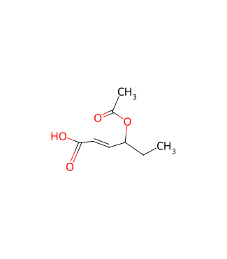 CCC(C=CC(=O)O)OC(C)=O